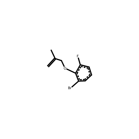 C=C(C)COc1c(F)cccc1Br